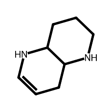 C1=CNC2CCCNC2C1